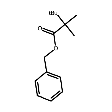 CC(C)(C)C(C)(C)C(=O)OCc1ccccc1